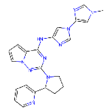 Cn1cnc(-n2cnc(Nc3nc(N4CCCC4c4ccccn4)nn4cccc34)c2)c1